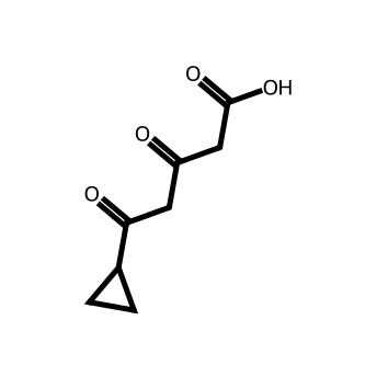 O=C(O)CC(=O)CC(=O)C1CC1